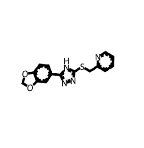 c1ccc(CSc2nnc(-c3ccc4c(c3)OCO4)[nH]2)nc1